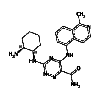 Cc1nccc2c(Nc3nc(N[C@@H]4CCCC[C@@H]4N)nnc3C(N)=O)cccc12